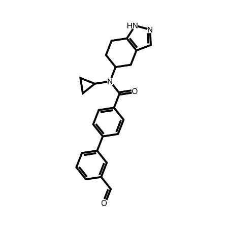 O=Cc1cccc(-c2ccc(C(=O)N(C3CC3)C3CCc4[nH]ncc4C3)cc2)c1